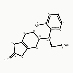 COC[C@H](c1ccccc1Cl)N1CCC2=C(CC(=O)S2)C1